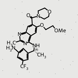 COCCOc1cc2c(N[C@H](C)c3cc(N)cc(C(F)(F)F)c3)nc(C)nc2cc1C(=O)N1CCOCC1